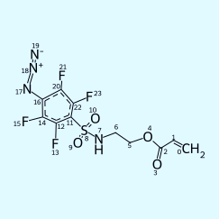 C=CC(=O)OCCNS(=O)(=O)c1c(F)c(F)c(N=[N+]=[N-])c(F)c1F